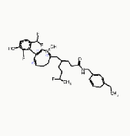 CCC1=CC=C(CNC(=O)CCC(CCC(C)F)C/C2=[N+](O)/C=C(c3c(C(F)F)ccc(O)c3F)\C=C/CC2)C=CC1